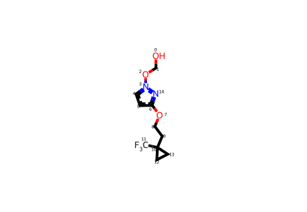 OCOn1ccc(OCCC2(C(F)(F)F)CC2)n1